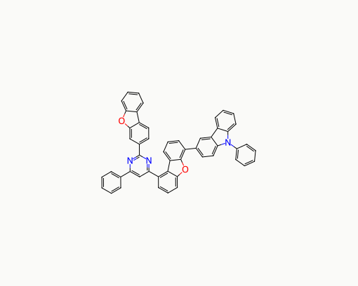 c1ccc(-c2cc(-c3cccc4oc5c(-c6ccc7c(c6)c6ccccc6n7-c6ccccc6)cccc5c34)nc(-c3ccc4c(c3)oc3ccccc34)n2)cc1